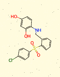 O=S(=O)(c1ccc(Cl)cc1)c1ccccc1CNc1ccc(O)cc1O